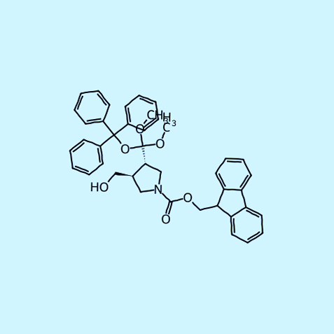 COC(OC)(OC(c1ccccc1)(c1ccccc1)c1ccccc1)[C@@H]1CN(C(=O)OCC2c3ccccc3-c3ccccc32)C[C@H]1CO